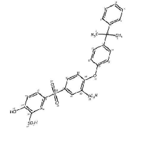 CC(C)(c1ccccc1)c1ccc(Oc2ccc(S(=O)(=O)c3ccc(O)c(S(=O)(=O)O)c3)cc2S(=O)(=O)O)cc1